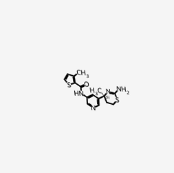 Cc1ccsc1C(=O)Nc1cncc([C@]2(C)CCSC(N)=N2)c1